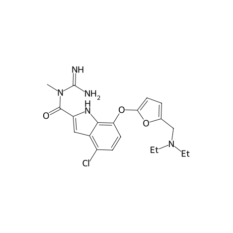 CCN(CC)Cc1ccc(Oc2ccc(Cl)c3cc(C(=O)N(C)C(=N)N)[nH]c23)o1